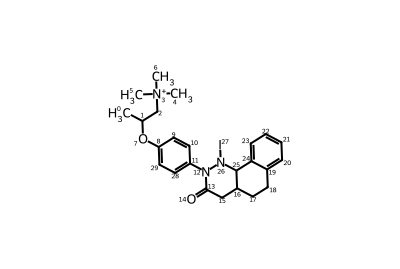 CC(C[N+](C)(C)C)Oc1ccc(N2C(=O)CC3CCc4ccccc4C3N2I)cc1